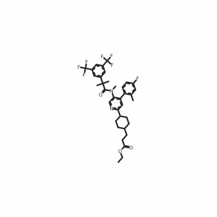 CCOC(=O)CCC1CCC(c2cc(-c3ccc(F)cc3C)c(N(C)C(=O)C(C)(C)c3cc(C(F)(F)F)cc(C(F)(F)F)c3)cn2)CC1